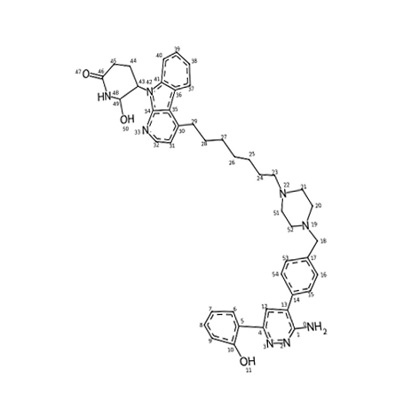 Nc1nnc(-c2ccccc2O)cc1-c1ccc(CN2CCN(CCCCCCCc3ccnc4c3c3ccccc3n4C3CCC(=O)NC3O)CC2)cc1